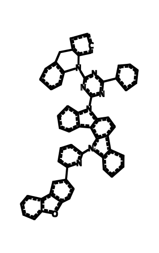 c1ccc(-c2nc(N3c4ccccc4Cc4ccccc43)nc(-n3c4ccccc4c4c3ccc3c5ccccc5n(-c5cccc(-c6ccc7oc8ccccc8c7c6)n5)c34)n2)cc1